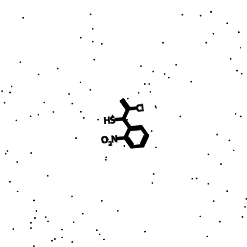 C=C(Cl)C(S)c1ccccc1[N+](=O)[O-]